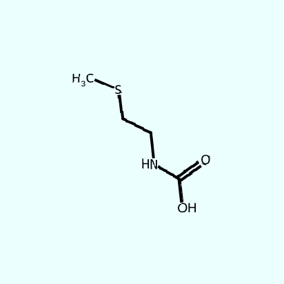 CSCCNC(=O)O